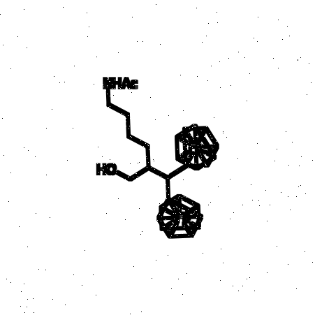 CC(=O)NCCCCC(CO)C([C]12[CH]3[CH]4[CH]5[CH]1[Fe]45321678[CH]2[CH]1[CH]6[CH]7[CH]28)[C]12[CH]3[CH]4[CH]5[CH]1[Fe]45321678[CH]2[CH]1[CH]6[CH]7[CH]28